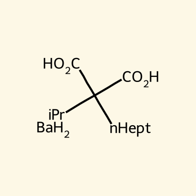 CCCCCCCC(C(=O)O)(C(=O)O)C(C)C.[BaH2]